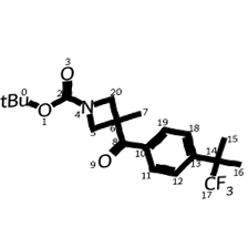 CC(C)(C)OC(=O)N1CC(C)(C(=O)c2ccc(C(C)(C)C(F)(F)F)cc2)C1